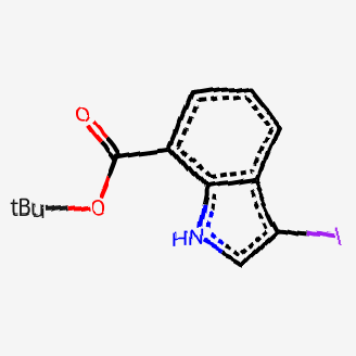 CC(C)(C)OC(=O)c1cccc2c(I)c[nH]c12